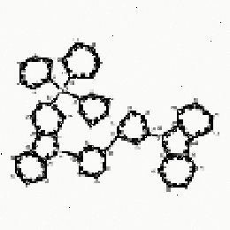 c1ccc(S(c2ccccc2)(c2ccccc2)c2ccc3c4ccccc4n(-c4cccc(-c5cccc(-n6c7ccccc7c7ccccc76)c5)c4)c3c2)cc1